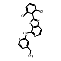 OCc1ccnc(Nc2nccc3nc(-c4c(Cl)cccc4Cl)sc23)c1